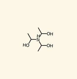 CC(O)[SiH](C(C)O)C(C)O